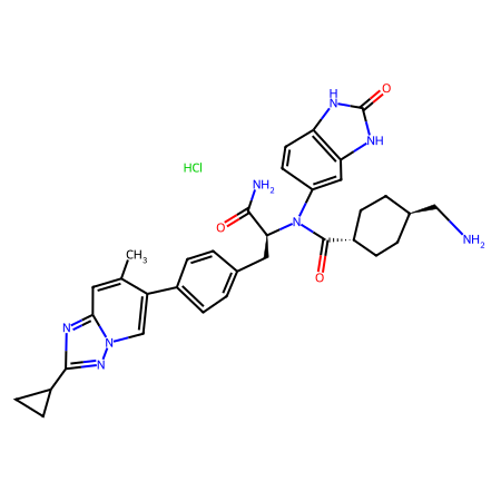 Cc1cc2nc(C3CC3)nn2cc1-c1ccc(C[C@@H](C(N)=O)N(c2ccc3[nH]c(=O)[nH]c3c2)C(=O)[C@H]2CC[C@H](CN)CC2)cc1.Cl